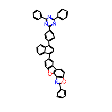 c1ccc(-c2nc(-c3ccccc3)nc(-c3ccc(-c4ccc(-c5ccc6oc7c(ccc8oc(-c9ccccc9)nc87)c6c5)c5ccccc45)cc3)n2)cc1